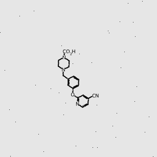 N#Cc1ccnc(Oc2cccc(CN3CCN(C(=O)O)CC3)c2)c1